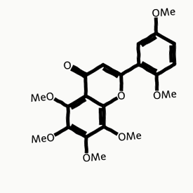 COc1ccc(OC)c(-c2cc(=O)c3c(OC)c(OC)c(OC)c(OC)c3o2)c1